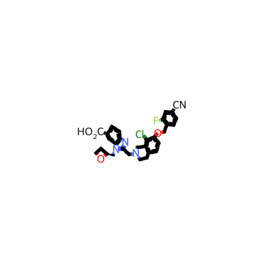 N#Cc1ccc(COc2ccc3c(c2Cl)CN(Cc2nc4ccc(C(=O)O)cc4n2C[C@@H]2CCO2)CC3)c(F)c1